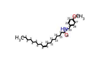 CCCCCCCC/C=C\CCCCCCCC(=O)NCc1ccc(OC)cc1